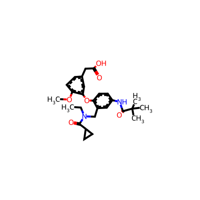 CCN(Cc1cc(NC(=O)C(C)(C)C)ccc1Oc1cc(CC(=O)O)ccc1OC)C(=O)C1CC1